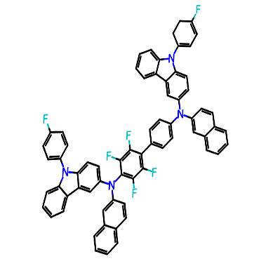 FC1=CC=C(n2c3ccccc3c3cc(N(c4ccc(-c5c(F)c(F)c(N(c6ccc7ccccc7c6)c6ccc7c(c6)c6ccccc6n7-c6ccc(F)cc6)c(F)c5F)cc4)c4ccc5ccccc5c4)ccc32)CC1